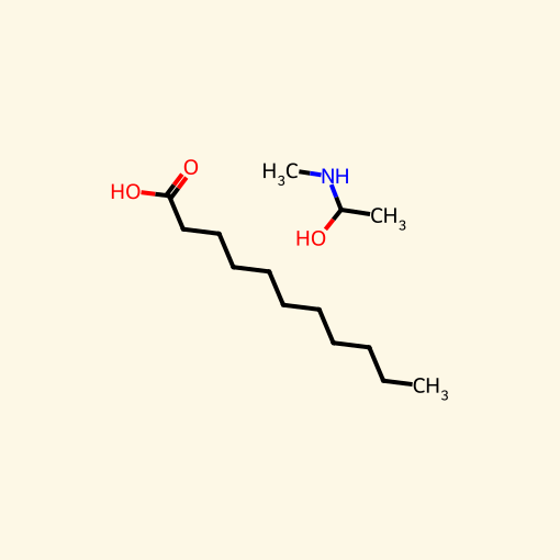 CCCCCCCCCCC(=O)O.CNC(C)O